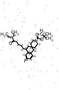 CCN(CC)C(=O)CCCCC1CC2(CCN(C(=O)OC(C)(C)C)CC2)Cc2ccc(F)cc21